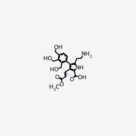 COC(=O)/C=C/c1c(C(=O)O)[nH]c(CCN)c1-c1ccc(CO)c(CO)c1CO